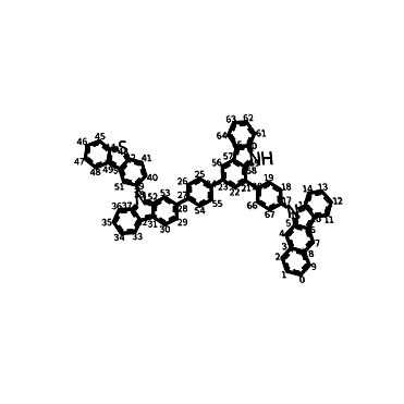 c1ccc2cc3c(cc2c1)c1ccccc1n3-c1ccc(-c2cc(-c3ccc(-c4ccc5c6ccccc6n(-c6ccc7sc8ccccc8c7c6)c5c4)cc3)cc3c2[nH]c2ccccc23)cc1